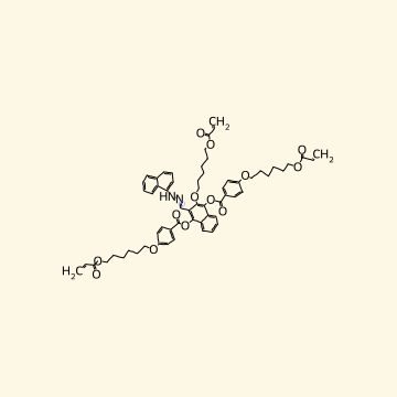 C=CC(=O)OCCCCCCOc1ccc(C(=O)Oc2c(/C=N/Nc3cccc4ccccc34)c(OCCCCCCOC(=O)C=C)c(OC(=O)c3ccc(OCCCCCCOC(=O)C=C)cc3)c3ccccc23)cc1